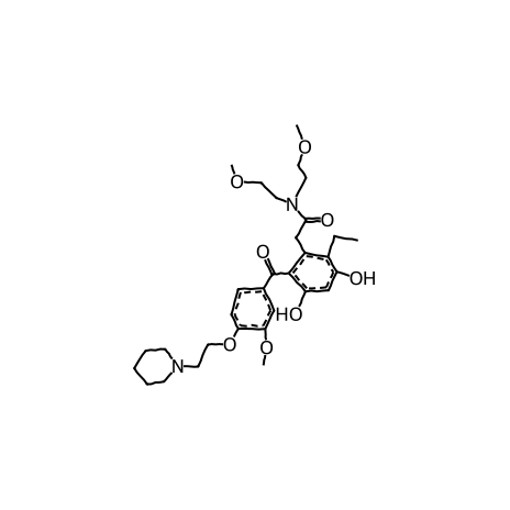 CCc1c(O)cc(O)c(C(=O)c2ccc(OCCN3CCCCC3)c(OC)c2)c1CC(=O)N(CCOC)CCOC